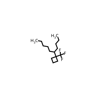 CCCCCC(CCCC)C1(C(F)(F)F)CCC1